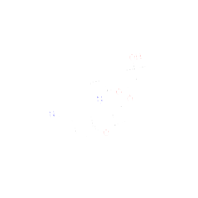 CC(C)(O)CCOC(C)(C)C1C(N2CCCC2=O)c2cc(C#N)ccc2OC1(C)C